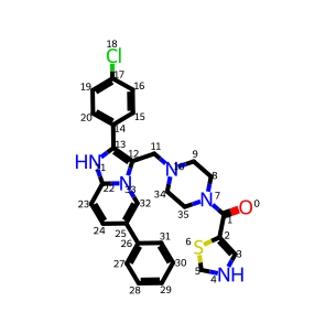 O=C(C1=CNCS1)N1CCN(CC2=C(c3ccc(Cl)cc3)NC3C=CC(c4ccccc4)=CN23)CC1